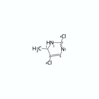 CC1NC(Cl)=NC=C1Cl